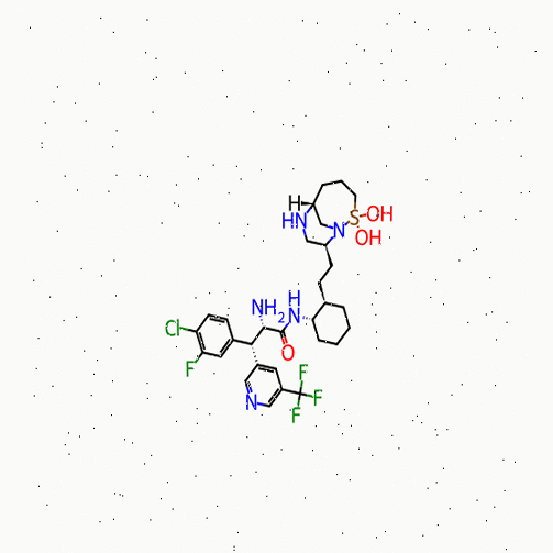 N[C@H](C(=O)N[C@H]1CCCC[C@@H]1CC[C@H]1CN[C@@H]2CCCS(O)(O)N1C2)[C@H](c1cncc(C(F)(F)F)c1)c1ccc(Cl)c(F)c1